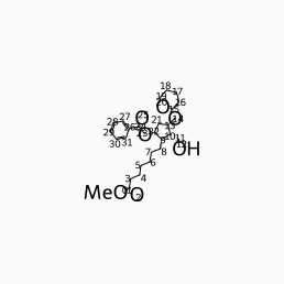 COC(=O)CCCCCC[C@@H]1[C@@H](CO)[C@H](OC2CCCCO2)C[C@@H]1OC(=O)c1ccccc1